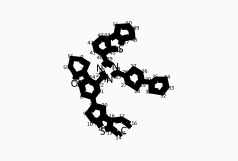 C1=Cc2c(oc3cc(-c4ccc5sc6ccccc6c5c4)cc(-c4nc(-c5ccc(-c6ccccc6)cc5)nc(-c5cccc6c5sc5ccccc56)n4)c23)CC1